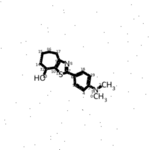 CN(C)c1ccc(-c2nc3c(s2)C(O)CCCC3)cc1